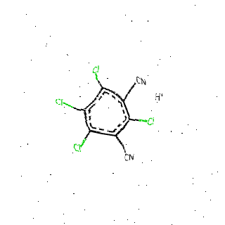 N#Cc1c(Cl)c(Cl)c(Cl)c(C#N)c1Cl.[H+]